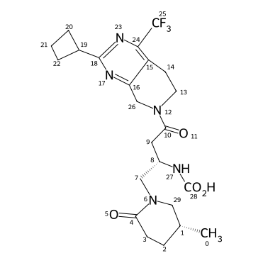 C[C@@H]1CCC(=O)N(C[C@H](CC(=O)N2CCc3c(nc(C4CCC4)nc3C(F)(F)F)C2)NC(=O)O)C1